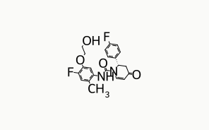 Cc1cc(F)c(OCCO)cc1NC(=O)N1C=CC(=O)C[C@H]1c1ccc(F)cc1